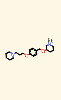 CCN1CCCC(OCc2ccc(OCCCN3CCCCC3)cc2)C1